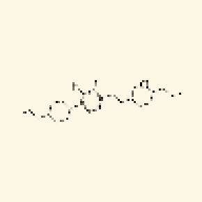 CCCC1CCC(c2ccc(CCC3CCC(CCC)OC3)c(C)c2F)CC1